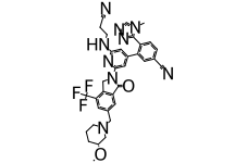 CO[C@@H]1CCCN(Cc2cc3c(c(C(F)(F)F)c2)CN(c2cc(-c4cc(C#N)ccc4-c4nncn4C)cc(NCCC#N)n2)C3=O)C1